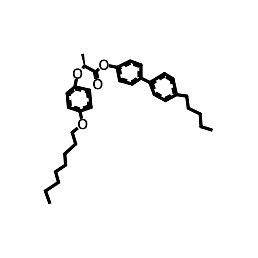 CCCCCCCCOc1ccc(O[C@@H](C)C(=O)Oc2ccc(-c3ccc(CCCCC)cc3)cc2)cc1